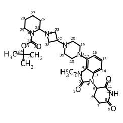 Cn1c(=O)n(C2CCC(=O)NC2=O)c2cccc(N3CCN(C4CN(C5CCCCN5C(=O)OC(C)(C)C)C4)CC3)c21